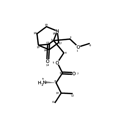 COCC1(COC(=O)[C@@H](N)C(C)C)C(=O)C2CCN1CC2